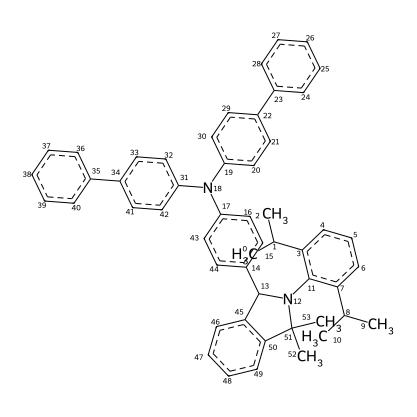 CC(C)c1cccc(C(C)C)c1N1C(c2ccc(N(c3ccc(-c4ccccc4)cc3)c3ccc(-c4ccccc4)cc3)cc2)c2ccccc2C1(C)C